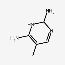 CC1=C(N)NC(N)N=C1